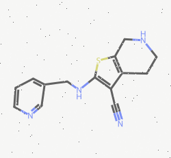 N#Cc1c(NCc2cccnc2)sc2c1CCNC2